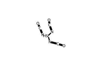 O=C=N[SiH](N=C=O)N=C=O